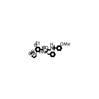 CCOc1cc(C(=O)N[C@@H](Cc2ccccc2)[C@H](O)CNC(C)(C)c2cccc(OC)c2)cc(N2CCCS2(=O)=O)c1